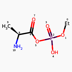 CCOP(=O)(O)OC(=O)[C@H](C)N